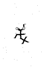 CCC(C)(CC(C)(C)C)C(=O)OC